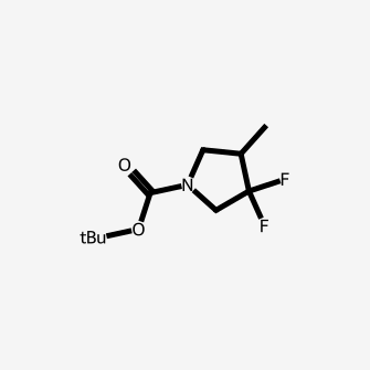 CC1CN(C(=O)OC(C)(C)C)CC1(F)F